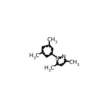 Cc1cc(C)cc(-n2nc(C)cc2C)c1